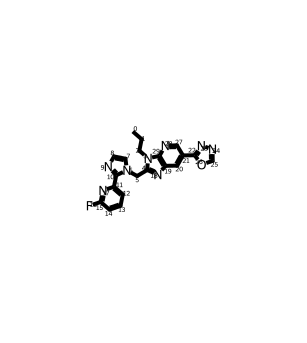 CCCn1c(Cn2ccnc2-c2cccc(F)n2)nc2cc(-c3nnco3)cnc21